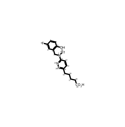 CCN(Cc1cc(F)ccc1O)c1ccc(CCCCC(=O)O)nn1